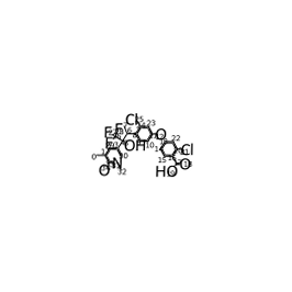 Cc1cc(C(O)(C(C)c2ccc(Oc3ccc(C(=O)O)c(Cl)c3)cc2Cl)C(F)(F)F)cn(C)c1=O